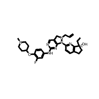 C=CCN1Cc2cnc(Nc3ccc(OC4CCN(C)CC4)c(F)c3)nc2N1c1ccc2c(n1)[C@@](O)(CC)CC2